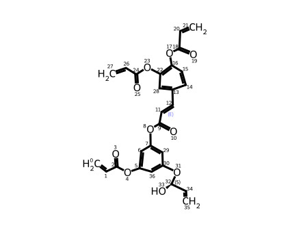 C=CC(=O)Oc1cc(OC(=O)/C=C/c2ccc(OC(=O)C=C)c(OC(=O)C=C)c2)cc(O[C@H](O)C=C)c1